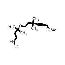 CCNCCC(C)(C)OCCC(C)(C)C#CCOC